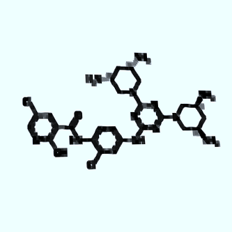 N[C@@H]1C[C@H](N)CN(c2nc(Nc3ccc(NC(=O)c4cc(Cl)cnc4O)c(Cl)c3)nc(N3C[C@H](N)C[C@H](N)C3)n2)C1